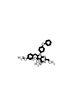 C=Cc1nc(N)c2c(n1)N(c1ccc(Oc3ccccc3)cc1)C(Cc1ccc(OC)cc1)C2(C)C